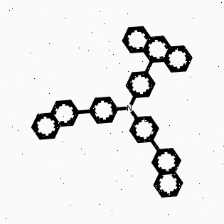 c1ccc2cc(-c3ccc(N(c4ccc(-c5ccc6ccccc6c5)cc4)c4ccc(-c5c6ccccc6cc6ccccc56)cc4)cc3)ccc2c1